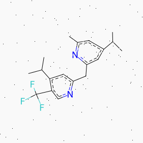 Cc1cc(C(C)C)cc(Cc2cc(C(C)C)c(C(F)(F)F)cn2)n1